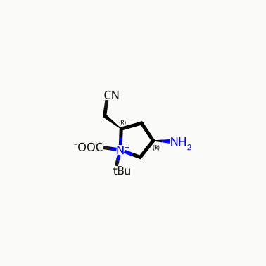 CC(C)(C)[N+]1(C(=O)[O-])C[C@H](N)C[C@@H]1CC#N